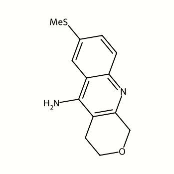 CSc1ccc2nc3c(c(N)c2c1)CCOC3